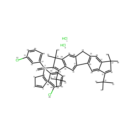 Cl.Cl.[CH2]=[Zr]([C]1=CC=CC1)([C]1=C(C(C)(C)C)c2cc3c(cc2C1(C)C)Cc1cc2c(cc1-3)C(C(C)(C)C)=CC2(C)C)([c]1cccc(Cl)c1)[c]1cccc(Cl)c1